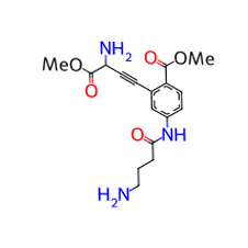 COC(=O)c1ccc(NC(=O)CCCN)cc1C#CC(N)C(=O)OC